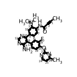 CC#CC(=O)Nc1ccc(-c2ncnc(N)c2-c2ccc(Oc3nccc(C)n3)c(F)c2)cc1N(C)C